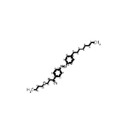 CCCCCCCCc1ccc(/N=N/c2ccc(C(=O)CCOCCCC)cc2)cc1